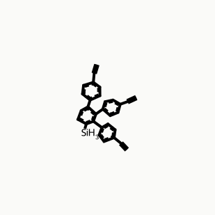 C#Cc1ccc(-c2ccc([SiH3])c(-c3ccc(C#C)cc3)c2-c2ccc(C#C)cc2)cc1